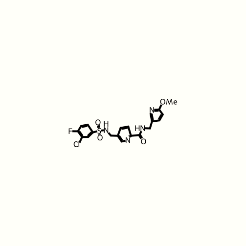 COc1ccc(CNC(=O)c2ccc(CNS(=O)(=O)c3ccc(F)c(Cl)c3)cn2)cn1